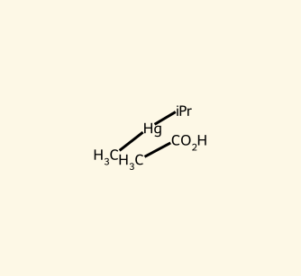 CC(=O)O.[CH3][Hg][CH](C)C